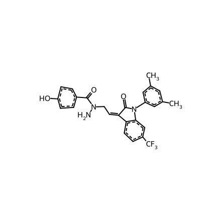 Cc1cc(C)cc(N2C(=O)C(=CCN(N)C(=O)c3ccc(O)cc3)c3ccc(C(F)(F)F)cc32)c1